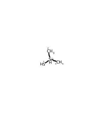 C[SiH](C)S